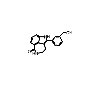 O=C1NCCc2c(-c3cccc(CO)c3)[nH]c3cccc1c23